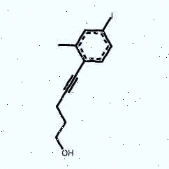 Cc1cc(I)ccc1C#CCCCO